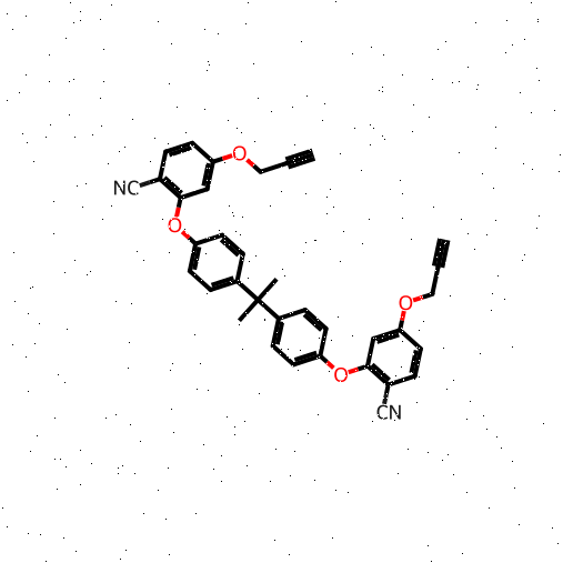 C#CCOc1ccc(C#N)c(Oc2ccc(C(C)(C)c3ccc(Oc4cc(OCC#C)ccc4C#N)cc3)cc2)c1